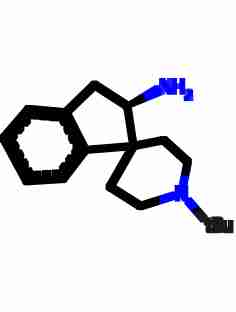 CC(C)(C)N1CCC2(CC1)c1ccccc1C[C@H]2N